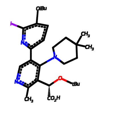 Cc1ncc(-c2ccc(OCC(C)C)c(I)n2)c(N2CCC(C)(C)CC2)c1[C@H](OC(C)(C)C)C(=O)O